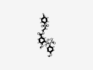 COc1ccc(N([N+](=O)[O-])S(=O)(=O)c2cc(C(=O)OCCS(=O)(=O)c3ccc(C)cc3)ccc2OC)cc1